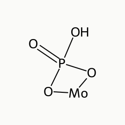 O=P1(O)[O][Mo][O]1